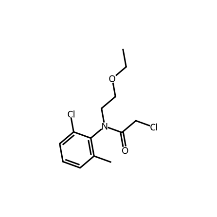 CCOCCN(C(=O)CCl)c1c(C)cccc1Cl